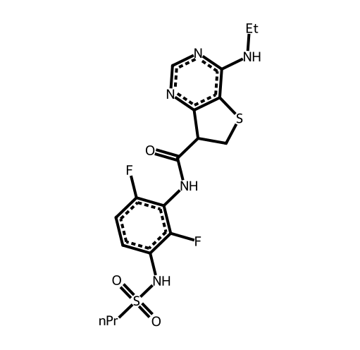 CCCS(=O)(=O)Nc1ccc(F)c(NC(=O)C2CSc3c(NCC)ncnc32)c1F